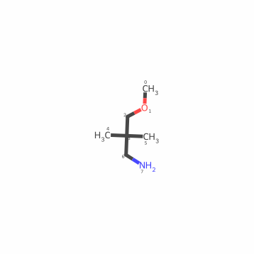 COCC(C)(C)CN